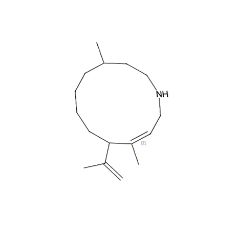 C=C(C)C1CCCCC(C)CCNC/C=C\1C